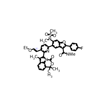 CCO/C=C/c1ccc(-c2cc3c(C(=O)NC)c(-c4ccc(F)cc4)oc3cc2N(C)S(C)(=O)=O)nc1-c1c(C)c2cccc3c2n1C(=O)OC3(C)C